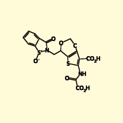 O=C(O)C(=O)Nc1sc2c(c1C(=O)O)CCOC2Cn1c(=O)c2ccccc2[s+]1[O-]